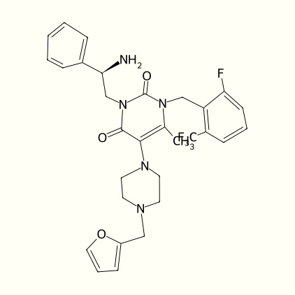 Cc1c(N2CCN(Cc3ccco3)CC2)c(=O)n(C[C@H](N)c2ccccc2)c(=O)n1Cc1c(F)cccc1C(F)(F)F